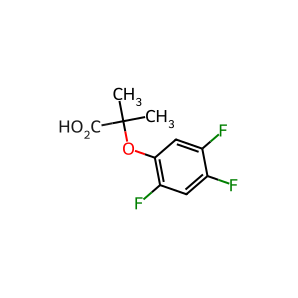 CC(C)(Oc1cc(F)c(F)cc1F)C(=O)O